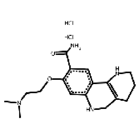 CN(C)CCOc1cc2c(cc1C(N)=O)C1=C(CCCN1)CN2.Cl.Cl